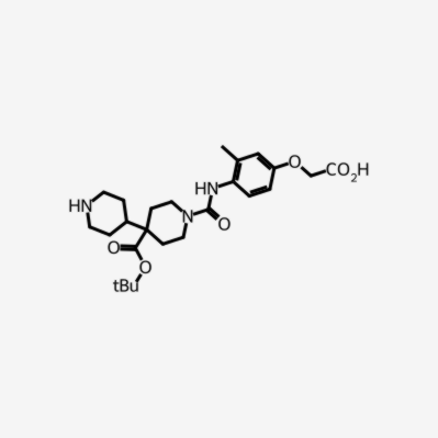 Cc1cc(OCC(=O)O)ccc1NC(=O)N1CCC(C(=O)OC(C)(C)C)(C2CCNCC2)CC1